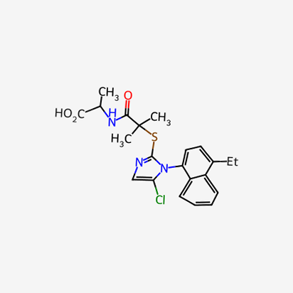 CCc1ccc(-n2c(Cl)cnc2SC(C)(C)C(=O)NC(C)C(=O)O)c2ccccc12